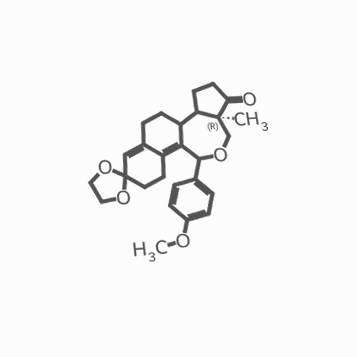 COc1ccc(C2OC[C@]3(C)C(=O)CCC3C3CCC4=CC5(CCC4=C23)OCCO5)cc1